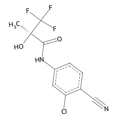 C[C@@](O)(C(=O)Nc1ccc(C#N)c(Cl)c1)C(F)(F)F